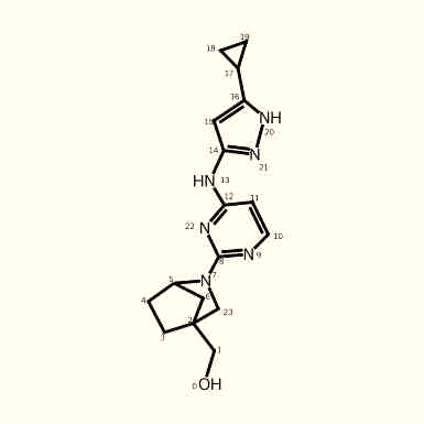 OCC12CCC(C1)N(c1nccc(Nc3cc(C4CC4)[nH]n3)n1)C2